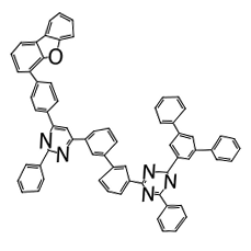 c1ccc(-c2cc(-c3ccccc3)cc(-c3nc(-c4ccccc4)nc(-c4cccc(-c5cccc(-c6cc(-c7ccc(-c8cccc9c8oc8ccccc89)cc7)nc(-c7ccccc7)n6)c5)c4)n3)c2)cc1